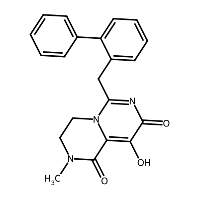 CN1CCn2c(Cc3ccccc3-c3ccccc3)nc(=O)c(O)c2C1=O